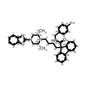 C[C@@H]1CN(c2nc3ccccc3o2)C[C@H](C)N1CCCCC1(C(=O)NCc2ccc(F)cc2)c2ccccc2-c2ccccc21